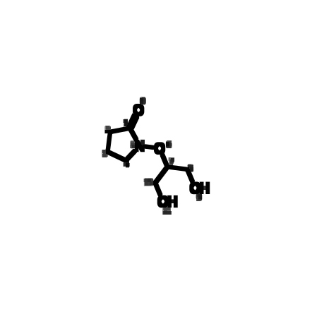 O=C1CCCN1OC(CO)CO